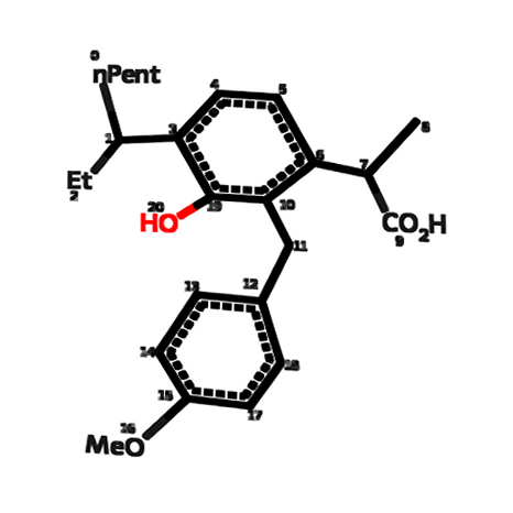 CCCCCC(CC)c1ccc(C(C)C(=O)O)c(Cc2ccc(OC)cc2)c1O